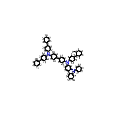 CC1C=CC=CC1c1ccc(N(c2ccc(-c3ccc(N(c4ccc(-c5ccccc5)cc4)c4ccc(-c5ccccc5)cc4)cc3)cc2)c2ccc3c4ccccc4n(-c4ccccc4)c3c2)cc1